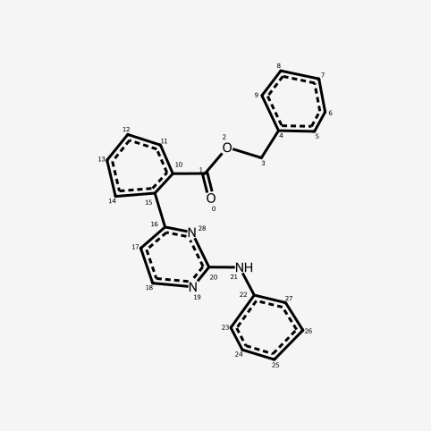 O=C(OCc1ccccc1)c1ccccc1-c1ccnc(Nc2ccccc2)n1